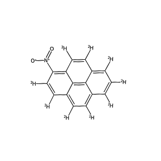 [2H]c1c([2H])c2c([2H])c([2H])c3c([2H])c([2H])c([N+](=O)[O-])c4c([2H])c([2H])c(c1[2H])c2c34